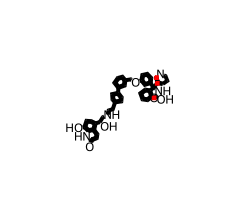 O=C(O)NC(c1ccccc1)(c1cccc(OCc2cccc(-c3ccc(CCNCC(O)c4ccc(O)c5[nH]c(=O)ccc45)cc3)c2)c1)C1CN2CCC1CC2